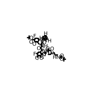 COc1c(F)cc(C(NC(=O)N2CCN(CCCNC(=O)OC(C)(C)C)C(=O)C2=O)C(=O)N[C@@H](Cc2ccc(F)c(C(=O)OC(C)(C)C)c2OC)B2O[C@@H]3C[C@@H]4C[C@@H](C4(C)C)[C@]3(C)O2)c(Cl)c1OC